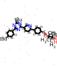 CC(C)(C)c1ccc(-c2nc(-c3ccc(-c4ccc(SOC(C)(C)C(C)(C)O)cc4)nc3)nc(C(C)(C)C)n2)cc1